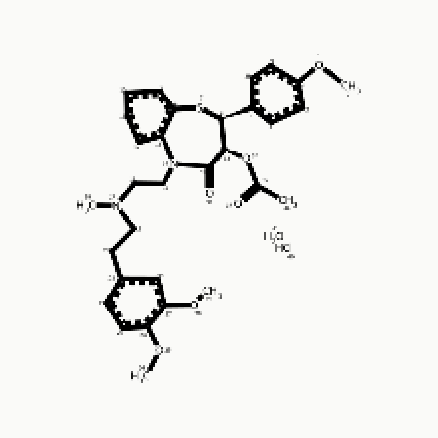 COc1ccc([C@@H]2Sc3ccccc3N(CCN(C)CCc3ccc(OC)c(OC)c3)C(=O)[C@@H]2OC(C)=O)cc1.Cl.O